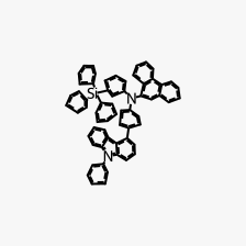 c1ccc(-n2c3ccccc3c3c(-c4ccc(N(c5cccc([Si](c6ccccc6)(c6ccccc6)c6ccccc6)c5)c5cc6ccccc6c6ccccc56)cc4)cccc32)cc1